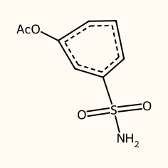 CC(=O)Oc1cccc(S(N)(=O)=O)c1